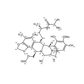 COc1c(C)cc2c(c1O)[C@H]1C3[C@H](SC[C@@H](C)NC(=O)C(N)C(C)C)c4c(OC(C)=O)c(C)c5c(c4[C@H](COC=O)N3[C@@H](C#N)[C@H](C2)N1C)OCO5